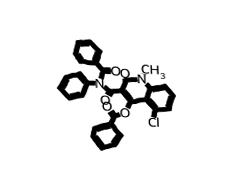 Cn1c(=O)c(C(=O)N(C(=O)c2ccccc2)c2ccccc2)c(OC(=O)c2ccccc2)c2c(Cl)cccc21